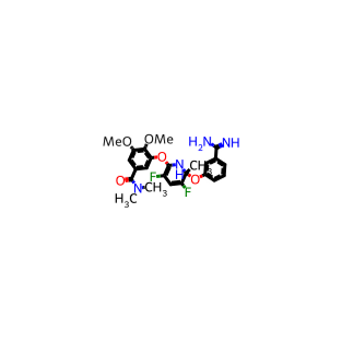 COc1cc(C(=O)N(C)C)cc(OC2=C(F)C=C(F)C(C)(Oc3cccc(C(=N)N)c3)N2)c1OC